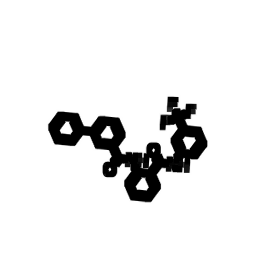 O=C(Nc1ccccc1C(=O)Nc1cccc(C(F)(F)F)c1)c1cccc(-c2ccccc2)c1